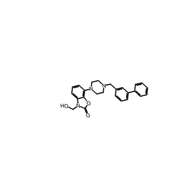 O=c1oc2c(N3CCN(Cc4cccc(-c5ccccc5)c4)CC3)cccc2n1CO